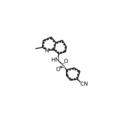 Cc1ccc2cccc(NS(=O)(=O)c3ccc(C#N)cc3)c2n1